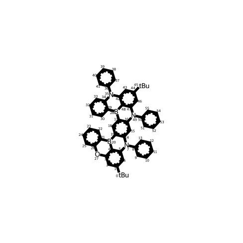 CC(C)(C)c1cc2c3c(c1)N(c1ccccc1)c1cc4c(cc1B3c1ccccc1O2)B1c2ccccc2N(c2ccccc2)c2cc(C(C)(C)C)cc(c21)N4c1ccccc1